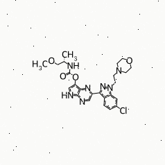 COC[C@H](C)NC(=O)Oc1c[nH]c2ncc(-c3nn(CCN4CCOCC4)c4cc(Cl)ccc34)nc12